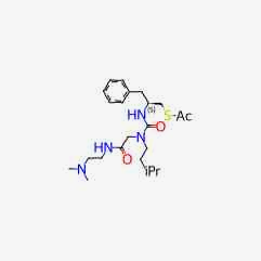 CC(=O)SC[C@H](Cc1ccccc1)NC(=O)N(CCC(C)C)CC(=O)NCCN(C)C